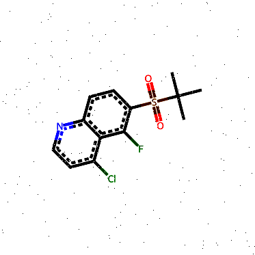 CC(C)(C)S(=O)(=O)c1ccc2nccc(Cl)c2c1F